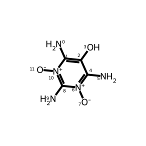 Nc1c(O)c(N)[n+]([O-])c(N)[n+]1[O-]